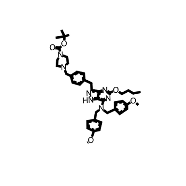 CCCCOc1nc(N(Cc2ccc(OC)cc2)Cc2ccc(OC)cc2)c2[nH]nc(Cc3ccc(CN4CCN(C(=O)OC(C)(C)C)CC4)cc3)c2n1